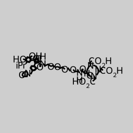 CC(C)c1cc(-c2onc(C(=O)NCCOCCOCCOCCOCCNC(=O)CN3CCN(CC(=O)O)CCN(CC(=O)O)CCN(CC(=O)O)CC3)c2-c2ccc(CN3CCOCC3)cc2)c(O)cc1O